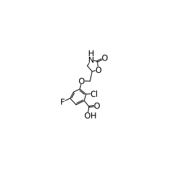 O=C1NCC(COc2cc(F)cc(C(=O)O)c2Cl)O1